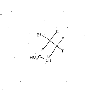 CCC(F)(Cl)C(F)(F)Br.O=C(O)O